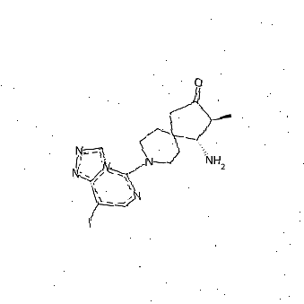 C[C@@H]1C(=O)CC2(CCN(c3ncc(I)c4nncn34)CC2)[C@H]1N